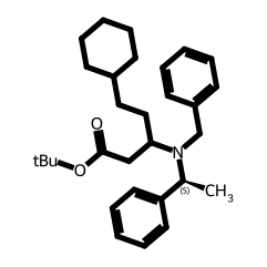 C[C@@H](c1ccccc1)N(Cc1ccccc1)C(CCC1CCCCC1)CC(=O)OC(C)(C)C